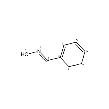 ON=CC1=CC=CCC1